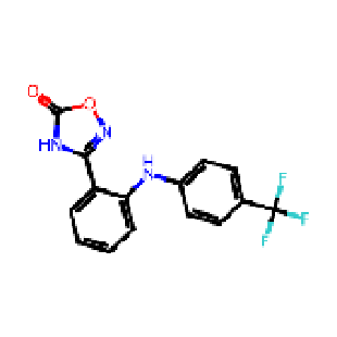 O=c1[nH]c(-c2ccccc2Nc2ccc(C(F)(F)F)cc2)no1